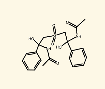 CC(=O)NC(O)(CS(=O)(=O)CC(O)(NC(C)=O)c1ccccc1)c1ccccc1